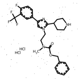 CN(CCn1cc(-c2ccc(F)c(C(F)(F)F)c2)nc1C1CCNCC1)C(=O)OCc1ccccc1.Cl.Cl